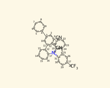 N#Cc1cc(-c2ccccc2)cc(-c2ccccc2-n2c3ccccc3c3cc(C(F)(F)F)ccc32)c1C#N